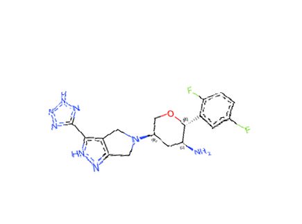 N[C@H]1C[C@@H](N2Cc3n[nH]c(-c4nn[nH]n4)c3C2)CO[C@@H]1c1cc(F)ccc1F